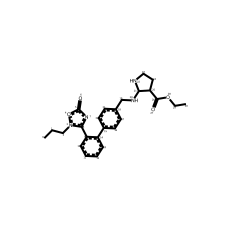 CCCn1oc(=O)nc1-c1ccccc1-c1ccc(CNC2NCCC2C(=O)OCC)cc1